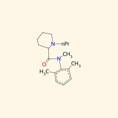 CCCN1CCCCC1C(=O)N(C)c1c(C)cccc1C